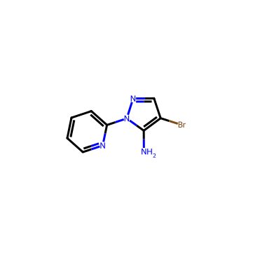 Nc1c(Br)cnn1-c1ccccn1